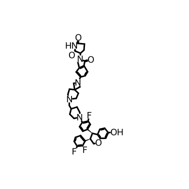 O=C1CCC(N2Cc3cc(N4CC5(CCN(CC6CCN(c7ccc([C@H]8c9ccc(O)cc9OC[C@H]8c8cccc(F)c8F)cc7F)CC6)CC5)C4)ccc3C2=O)C(=O)N1